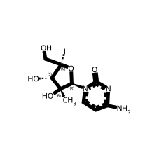 C[C@]1(O)[C@H](n2ccc(N)nc2=O)O[C@](I)(CO)[C@H]1O